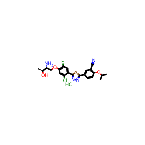 CC(C)Oc1ccc(-c2nnc(-c3cc(F)c(OC[C@@H](N)[C@H](C)O)cc3Cl)s2)cc1C#N.Cl